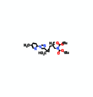 Cc1ccc(-n2cnc([C@@]3(C(=O)O)C[C@@H]3C[C@@H](C)CN(C(=O)OC(C)(C)C)C(=O)OC(C)(C)C)c2)nc1